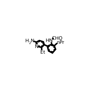 CCCc1cccc(-c2ccc(N)nc2CC)c1NC=O